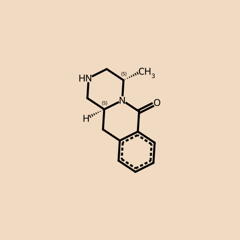 C[C@H]1CNC[C@@H]2Cc3ccccc3C(=O)N21